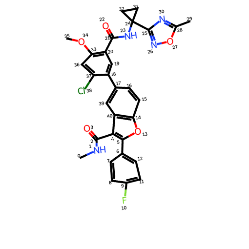 CNC(=O)c1c(-c2ccc(F)cc2)oc2ccc(-c3cc(C(=O)NC4(c5noc(C)n5)CC4)c(OC)cc3Cl)cc12